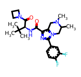 CC1Cn2c(-c3ccc(F)c(F)c3)nc(C(=O)N[C@H](C(=O)N3CCC3)C(C)(C)C)c2CN1C